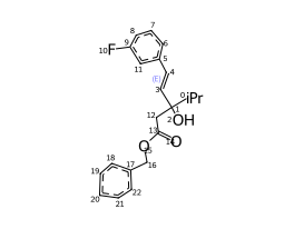 CC(C)C(O)(/C=C/c1cccc(F)c1)CC(=O)OCc1ccccc1